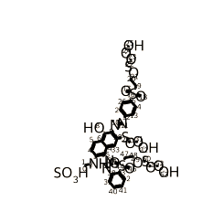 O=S(=O)(O)CNc1ccc2c(O)c(/N=N/c3ccc(S(=O)(=O)CCOSOOO)cc3)c(SOOO)cc2c1/N=N/c1ccccc1S(=O)(=O)CCOSOOO